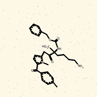 Cc1ccc(C(=O)c2ccc(CC(=O)C(CCCCN)(NC(=O)OCc3ccccc3)C(=O)O)n2C)cc1